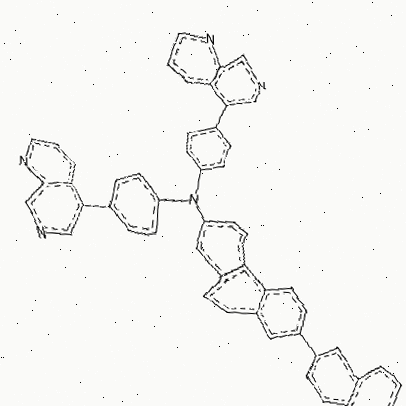 c1ccc2cc(-c3ccc4c(ccc5cc(N(c6ccc(-c7cncc8ncccc78)cc6)c6ccc(-c7cncc8ncccc78)cc6)ccc54)c3)ccc2c1